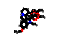 CC[C@]12CCCN3CC[C@@]4(c5ccc(OC)cc5N(C)C4C(O)(C(=O)OC)[C@@H]1OC(C)=O)[C@@H]32